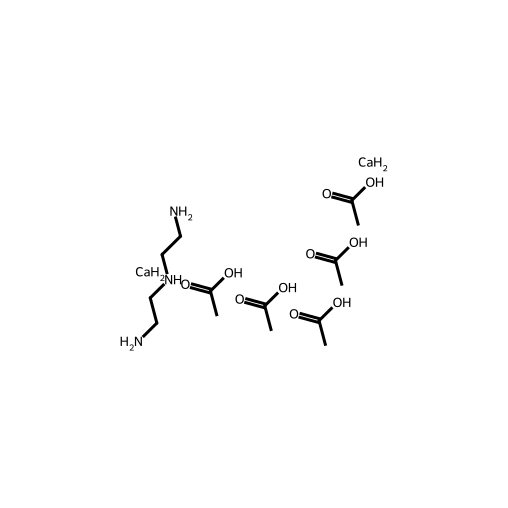 CC(=O)O.CC(=O)O.CC(=O)O.CC(=O)O.CC(=O)O.NCCNCCN.[CaH2].[CaH2]